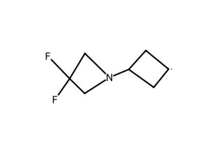 FC1(F)CN(C2C[CH]C2)C1